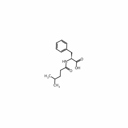 CC(C)CCC(=O)N[C@@H](Cc1ccccc1)C(=O)O